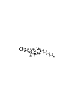 CCCCCCCC[C@H]1CC[C@H](c2ccc(CC/C=C/Cl)c(F)c2F)CC1